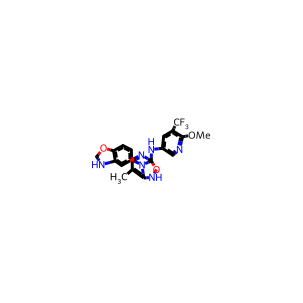 COc1ncc(NC23N=CC(C)=C(NO2)N3c2ccc3c(c2)NCO3)cc1C(F)(F)F